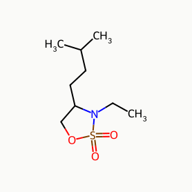 CCN1C(CCC(C)C)COS1(=O)=O